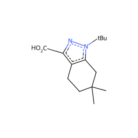 CC1(C)CCc2c(C(=O)O)nn(C(C)(C)C)c2C1